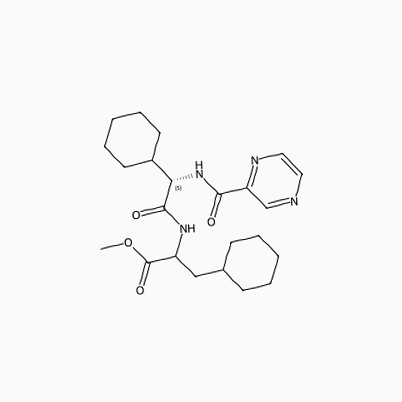 COC(=O)C(CC1CCCCC1)NC(=O)[C@@H](NC(=O)c1cnccn1)C1CCCCC1